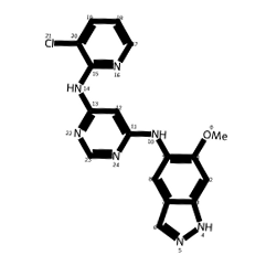 COc1cc2[nH]ncc2cc1Nc1cc(Nc2ncccc2Cl)ncn1